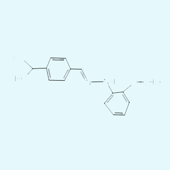 CC(O)c1ccc(/C=N/Nc2ccccc2OC=O)cc1